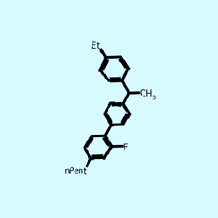 CCCCCc1ccc(-c2ccc(C(C)c3ccc(CC)cc3)cc2)c(F)c1